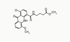 COC(=O)CCCNC(=O)c1ccc(Cl)c2c(=O)c3cccc(OC)c3[nH]c12